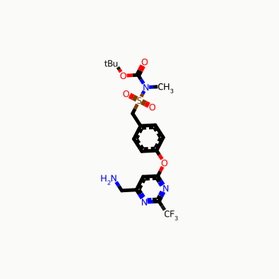 CN(C(=O)OC(C)(C)C)S(=O)(=O)Cc1ccc(Oc2cc(CN)nc(C(F)(F)F)n2)cc1